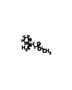 CCOC(=O)CCN(C)c1ccccn1